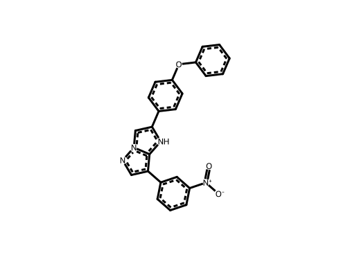 O=[N+]([O-])c1cccc(-c2cnn3cc(-c4ccc(Oc5ccccc5)cc4)[nH]c23)c1